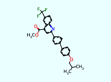 COC(=O)c1cc(-c2ccc(-c3ccc(OCC(C)C)cc3)cc2)nc2ccc(C(F)(F)F)cc12